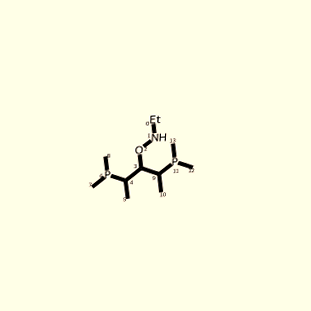 CCNOC(C(C)P(C)C)C(C)P(C)C